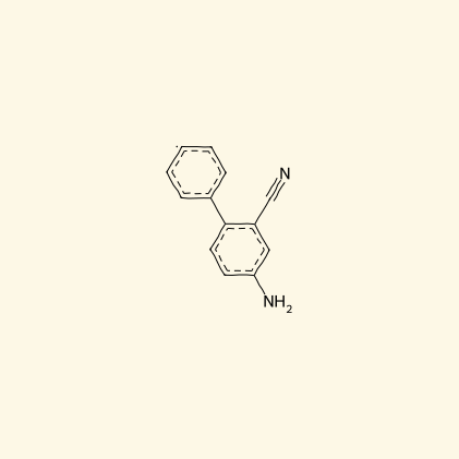 N#Cc1cc(N)ccc1-c1cc[c]cc1